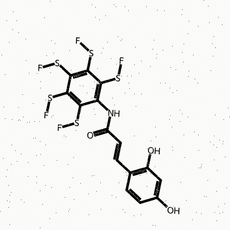 O=C(C=Cc1ccc(O)cc1O)Nc1c(SF)c(SF)c(SF)c(SF)c1SF